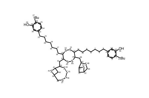 CC(C)(C)c1ccc(CCCCCCCC2SSC(CCCCCCCc3ccc(C(C)(C)C)c(O)c3)C(CC3SSSSCC4CC3S4)SSC2CC2SCC3CC2S3)cc1O